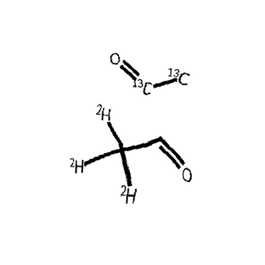 [13CH3][13CH]=O.[2H]C([2H])([2H])C=O